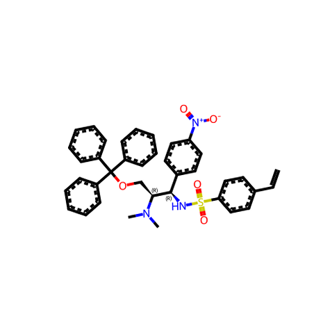 C=Cc1ccc(S(=O)(=O)N[C@H](c2ccc([N+](=O)[O-])cc2)[C@H](COC(c2ccccc2)(c2ccccc2)c2ccccc2)N(C)C)cc1